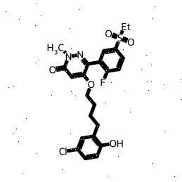 CCS(=O)(=O)c1ccc(F)c(-c2nn(C)c(=O)cc2OCCCCc2cc(Cl)ccc2O)c1